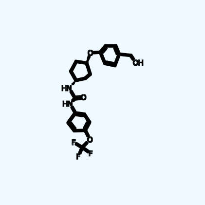 O=C(Nc1ccc(OC(F)(F)F)cc1)N[C@H]1CC[C@H](Oc2ccc(CO)cc2)CC1